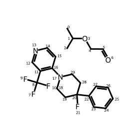 CC(C)OCC=O.FC(F)(F)c1cnccc1N1CCC(F)(c2ccccc2)CC1